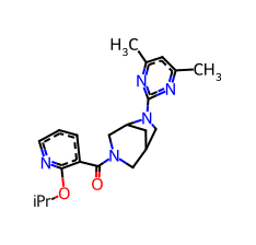 Cc1cc(C)nc(N2CC3CC2CN(C(=O)c2cccnc2OC(C)C)C3)n1